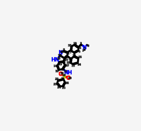 CN(C)Cc1ccc(-c2cnc3[nH]c4ccc(NS(=O)(=O)c5ccccc5)cc4c3c2-c2ccccc2)cc1